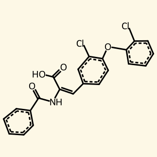 O=C(O)/C(=C\c1ccc(Oc2ccccc2Cl)c(Cl)c1)NC(=O)c1ccccc1